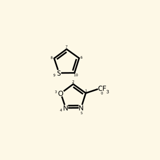 FC(F)(F)c1conn1.c1ccsc1